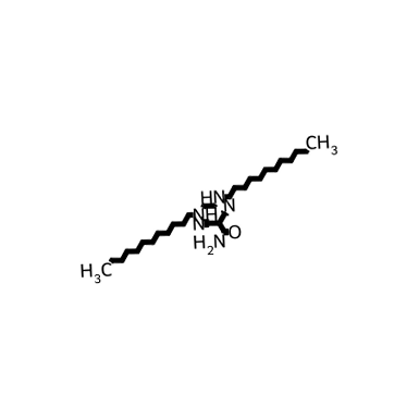 CCCCCCCCCCCCNCCNCCCCCCCCCCCC.N#CC(C#N)C(N)=O